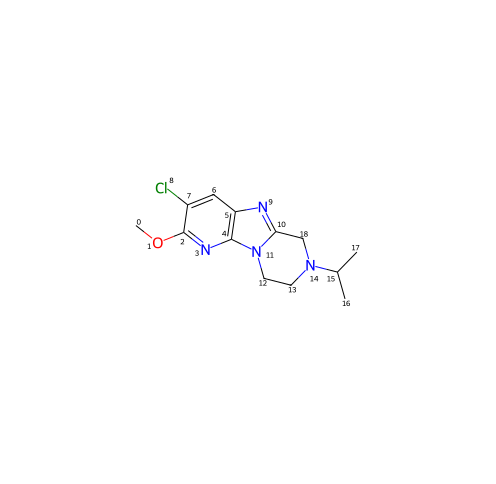 COc1nc2c(cc1Cl)nc1n2CCN(C(C)C)C1